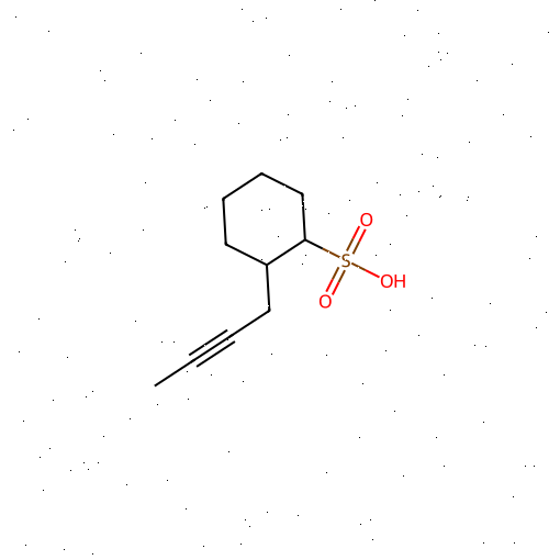 CC#CCC1CCCCC1S(=O)(=O)O